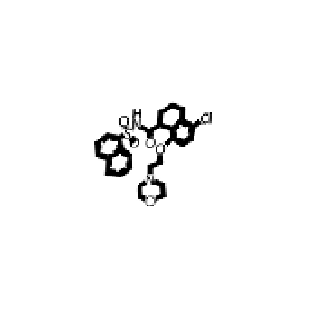 O=C(NS(=O)(=O)c1cccc2ccccc12)C1CCCc2c(Cl)ccc(OCCN3CCOCC3)c21